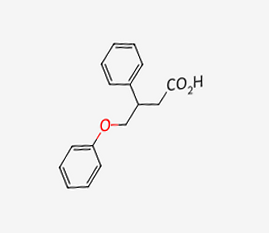 O=C(O)CC(COc1ccccc1)c1ccccc1